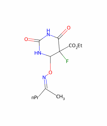 CCCC(C)=NOC1NC(=O)NC(=O)C1(F)C(=O)OCC